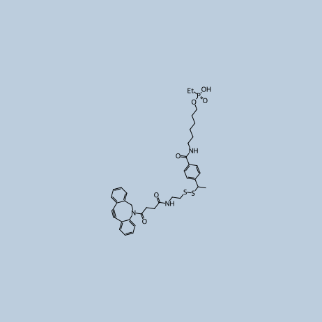 CCP(=O)(O)OCCCCCCNC(=O)c1ccc(C(C)SSCCNC(=O)CCC(=O)N2Cc3ccccc3C#Cc3ccccc32)cc1